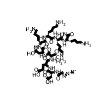 CC(C)[C@H](NC(=O)C(CCC(=O)O)NC(=O)[C@H](CC(=O)O)NC(=O)CN=[N+]=[N-])C(=O)NC(CC(=O)O)C(=O)N[C@@H](CCCCN)C(=O)N[C@@H](CCCCN)C(=O)N[C@@H](CCCCN)C(=O)N[C@@H](CCCCN)C(N)=O